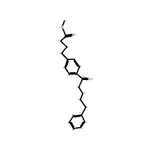 COC(=O)CCCc1ccc(C(=O)CCCCc2ccccc2)cc1